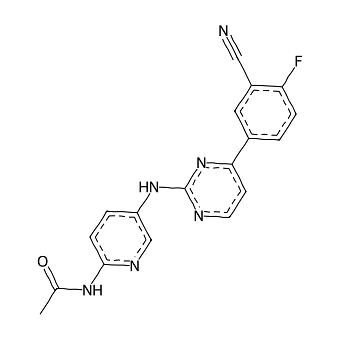 CC(=O)Nc1ccc(Nc2nccc(-c3ccc(F)c(C#N)c3)n2)cn1